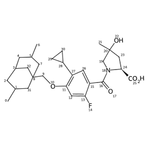 CC1CC2CC(C)CC(COc3cc(F)c(C(=O)N4CC(C)(O)C[C@H]4C(=O)O)cc3C3CC3)(C1)C2